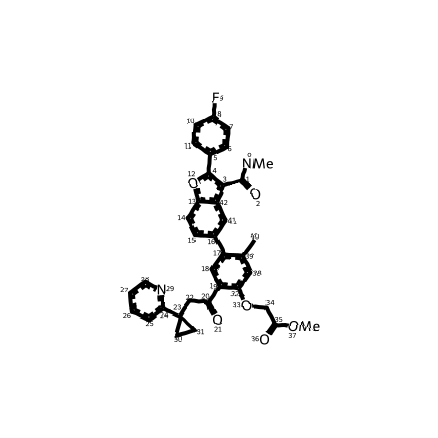 CNC(=O)c1c(-c2ccc(F)cc2)oc2ccc(-c3cc(C(=O)CC4(c5ccccn5)CC4)c(OCC(=O)OC)cc3C)cc12